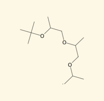 [CH2]C(C)OCC(C)OCC(C)OC(C)(C)C